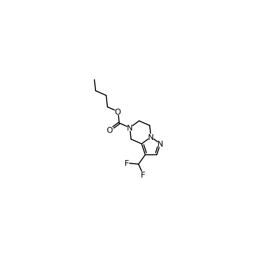 CCCCOC(=O)N1CCn2ncc(C(F)F)c2C1